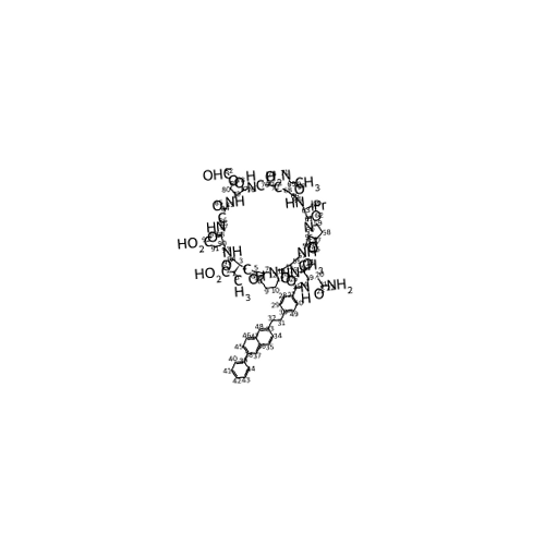 CC(C(=O)O)[C@@H]1CC(=O)[C@H]2CCCCN2C(=O)C(NC(=O)[C@H](CC(N)=O)NC(=O)c2ccc(CCc3ccc4cc(-c5ccccc5)ccc4c3)cc2)[C@@H](C)NC(=O)[C@@H]2CCCN2C(=O)[C@H](C(C)C)NC(=O)[C@@H](C(C)N)CC(=O)CNC(=O)C(COC=O)NC(=O)CNC(=O)[C@H](CC(=O)O)NC1=O